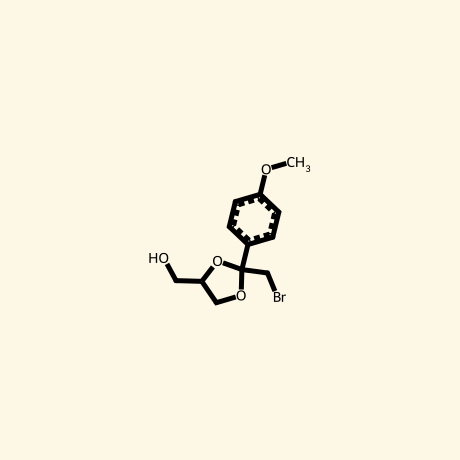 COc1ccc(C2(CBr)OCC(CO)O2)cc1